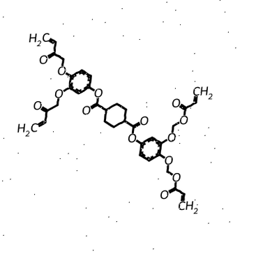 C=CC(=O)COc1ccc(OC(=O)C2CCC(C(=O)Oc3ccc(OCOC(=O)C=C)c(OCOC(=O)C=C)c3)CC2)cc1OCC(=O)C=C